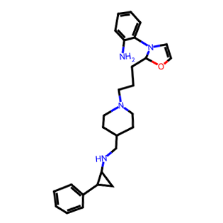 Nc1ccccc1N1C=COC1CCCN1CCC(CNC2CC2c2ccccc2)CC1